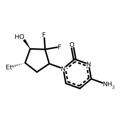 CC[C@H]1CC(n2ccc(N)nc2=O)C(F)(F)[C@@H]1O